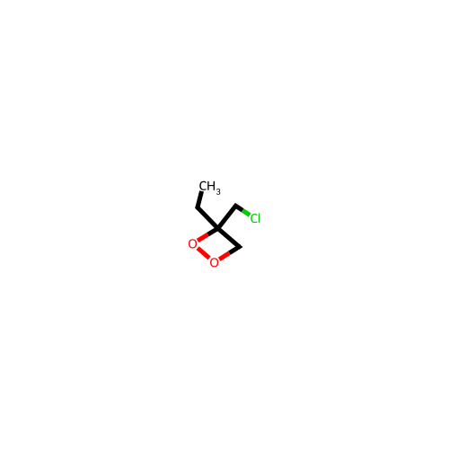 CCC1(CCl)COO1